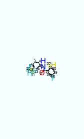 O=C(Nc1cccc(S(F)(F)(F)(F)F)c1)c1cc(F)ccc1S